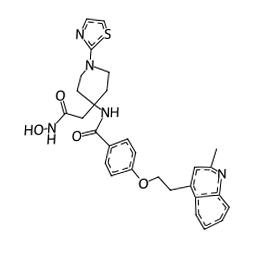 Cc1cc(CCOc2ccc(C(=O)NC3(CC(=O)NO)CCN(c4nccs4)CC3)cc2)c2ccccc2n1